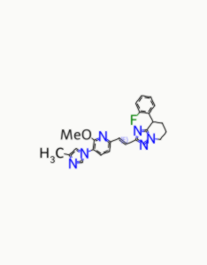 COc1nc(/C=C/c2nc3n(n2)CCCC3c2ccccc2F)ccc1-n1cnc(C)c1